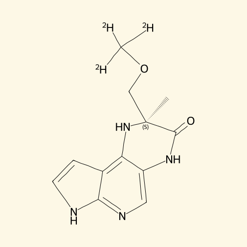 [2H]C([2H])([2H])OC[C@]1(C)Nc2c(cnc3[nH]ccc23)NC1=O